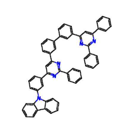 c1ccc(-c2cc(-c3cccc(-c4cccc(-c5cc(-c6cccc(-n7c8ccccc8c8ccccc87)c6)nc(-c6ccccc6)n5)c4)c3)nc(-c3ccccc3)n2)cc1